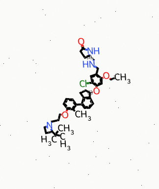 CCOc1cc(O[C@H]2CCc3c(-c4cccc(OCCCN5CCC5C(C)(C)C)c4C)cccc32)c(Cl)cc1CNC[C@@H]1CCC(=O)N1